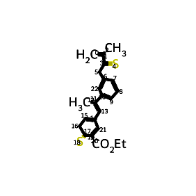 C=C(C)C(=S)Cc1cccc(/C(C)=C/C2=CCC(=S)C(C(=O)OCC)=C2)c1